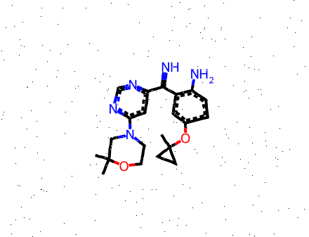 CC1(C)CN(c2cc(C(=N)c3cc(OC4(C)CC4)ccc3N)ncn2)CCO1